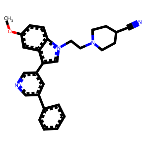 COc1ccc2c(c1)c(-c1cncc(-c3ccccc3)c1)cn2CCN1CCC(C#N)CC1